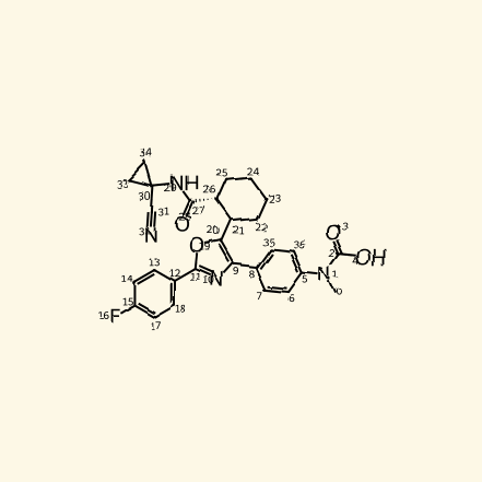 CN(C(=O)O)c1ccc(-c2nc(-c3ccc(F)cc3)oc2C2CCCC[C@H]2C(=O)NC2(C#N)CC2)cc1